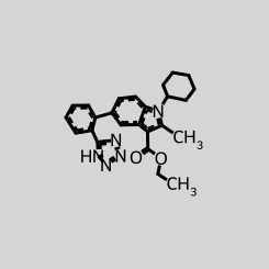 CCOC(=O)c1c(C)n(C2CCCCC2)c2ccc(-c3ccccc3-c3nnn[nH]3)cc12